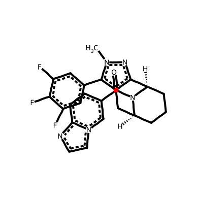 Cn1nc2c(c1-c1cc(F)c(F)c(F)c1)C[C@@H]1CCC[C@H]2N1C(=O)c1ccc2nccn2c1